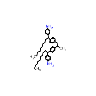 CCCCCCCCCC(c1ccc(N)cc1)c1ccc(CC(C)c2ccc(C(CCCCCCCCC)c3ccc(N)cc3)cc2)cc1